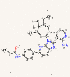 C=CC(=O)Nc1ccc(-c2ccc3nc(-c4cccnc4N)n(C4=CC=C(CC)C5(CCC5)C(C)=C4)c3n2)cc1